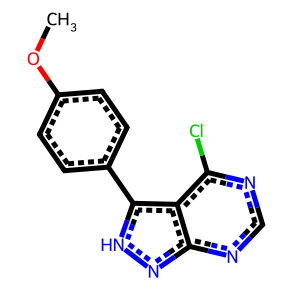 COc1ccc(-c2[nH]nc3ncnc(Cl)c23)cc1